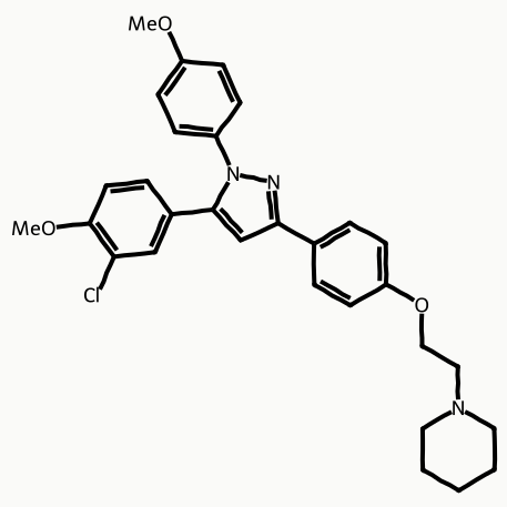 COc1ccc(-n2nc(-c3ccc(OCCN4CCCCC4)cc3)cc2-c2ccc(OC)c(Cl)c2)cc1